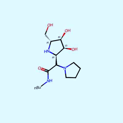 CCCCNC(=O)C([C@H]1N[C@H](CO)[C@@H](O)[C@H]1O)N1CCCC1